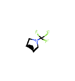 FC(F)(F)N1CC=CC1